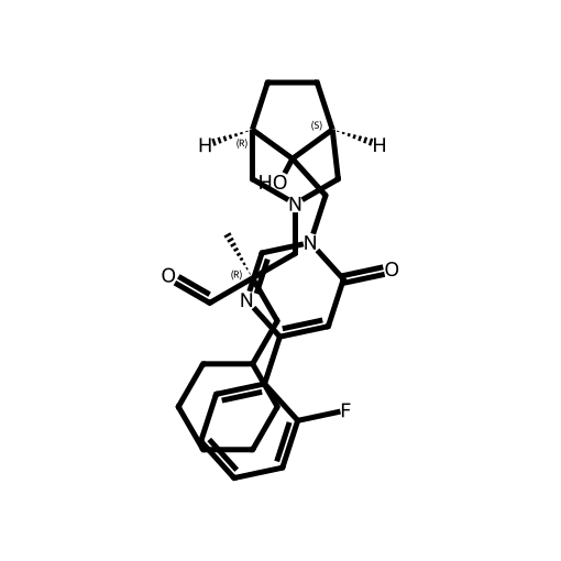 C[C@@](C=O)(CC1CCCCC1)CN1C[C@H]2CC[C@@H](C1)C2(O)Cn1cnc(-c2ccccc2F)cc1=O